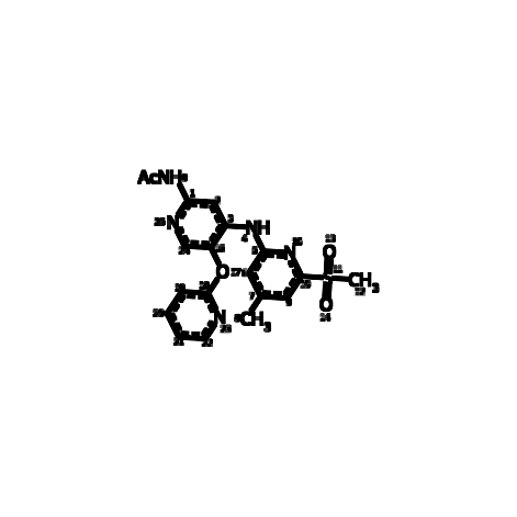 CC(=O)Nc1cc(Nc2cc(C)cc(S(C)(=O)=O)n2)c(Oc2ccccn2)cn1